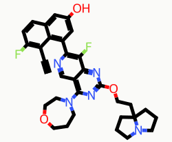 C#Cc1c(F)ccc2cc(O)cc(-c3ncc4c(N5CCCOCC5)nc(OCCC56CCCN5CCC6)nc4c3F)c12